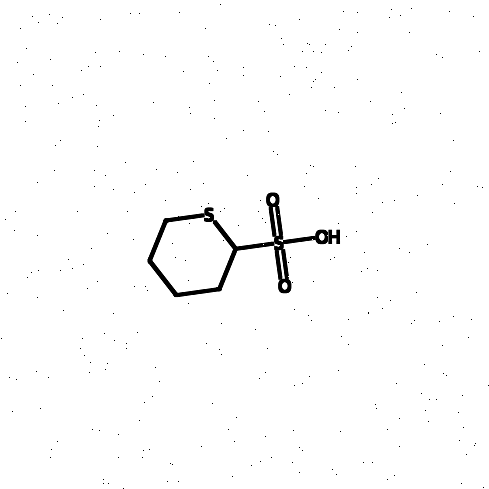 O=S(=O)(O)C1CCCCS1